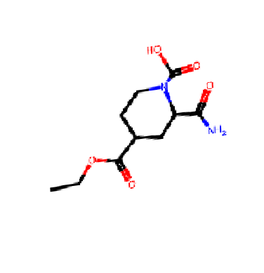 CCOC(=O)C1CCN(C(=O)O)C(C(N)=O)C1